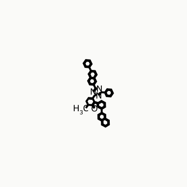 CC1CC=C(c2nc(-c3ccccc3)nc(-c3ccc4cc(-c5ccccc5)ccc4c3)n2)c2c1oc1c(-c3ccc4ccccc4c3)cccc21